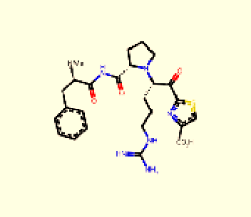 CN[C@H](Cc1ccccc1)C(=O)NC(=O)[C@@H]1CCCN1[C@@H](CCCNC(=N)N)C(=O)c1nc(C(=O)O)cs1